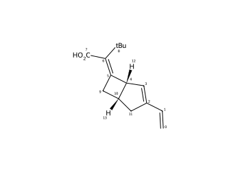 C=CC1=C[C@H]2C(=C(C(=O)O)C(C)(C)C)C[C@H]2C1